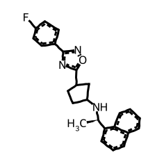 C[C@@H](NC1CCC(c2nc(-c3ccc(F)cc3)no2)C1)c1cccc2ccccc12